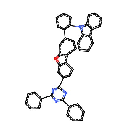 c1ccc(-c2nc(-c3ccccc3)nc(-c3ccc4c(c3)oc3cc(-c5ccccc5-n5c6ccccc6c6ccccc65)ccc34)n2)cc1